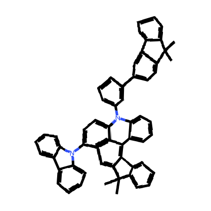 CC1(C)c2ccccc2-c2cc(-c3cccc(N(c4ccc(-n5c6ccccc6c6ccccc65)cc4)c4ccccc4-c4cccc5c4-c4ccccc4C5(C)C)c3)ccc21